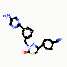 N#Cc1ccc(C2=NN(Cc3cccc(-c4ncc(N)cn4)c3)C(=O)SC2)cc1